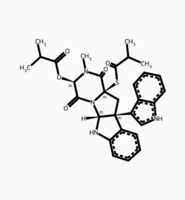 CC(C)C(=O)O[C@@H]1C(=O)N2[C@H]3Nc4ccccc4[C@@]3(c3c[nH]c4ccccc34)C[C@@]2(SC(=O)C(C)C)C(=O)N1C